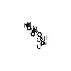 Cc1ncc(Cl)cc1C(=O)N[C@H]1CC[C@H](Cn2c(=O)n(-c3ccc4ncn(C)c4c3)c3ccccc32)CC1